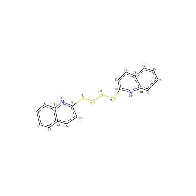 c1ccc2nc(SSSSc3ccc4ccccc4n3)ccc2c1